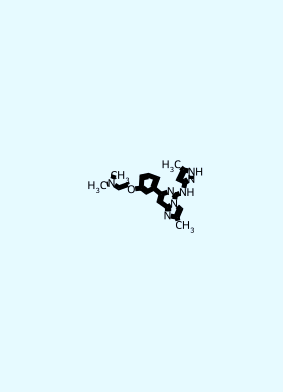 Cc1cn2c(Nc3cc(C)[nH]n3)nc(-c3cccc(OCCN(C)C)c3)cc2n1